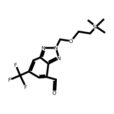 C[Si](C)(C)CCOCn1nc2cc(C(F)(F)F)cc(C=O)c2n1